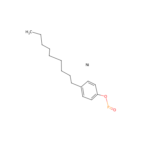 CCCCCCCCCc1ccc(OP=O)cc1.[Ni]